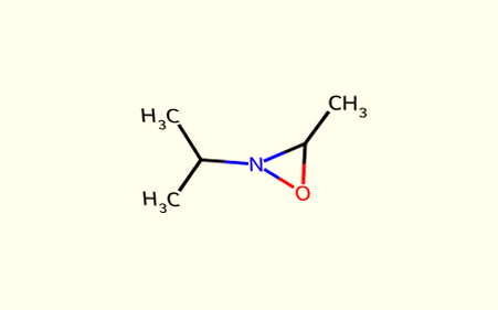 CC(C)N1OC1C